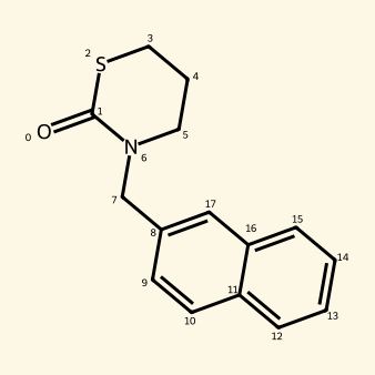 O=C1SCCCN1Cc1ccc2ccccc2c1